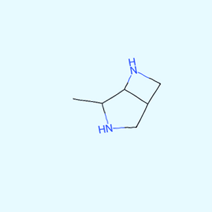 CC1NCC2CNC21